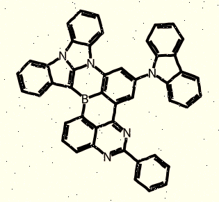 c1ccc(-c2nc3c4c(cccc4n2)B2c4c-3cc(-n3c5ccccc5c5ccccc53)cc4-n3c4ccccc4n4c5ccccc5c2c34)cc1